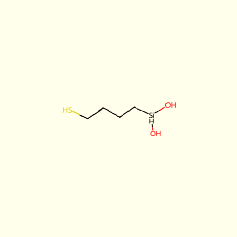 O[SiH](O)CCCCS